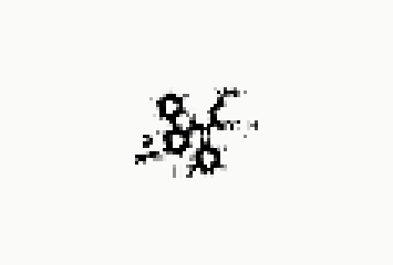 CSCCC(NC(=O)c1ccc(N=S(=O)=O)cc1-c1ccccc1)C(=O)O.Sc1ccccn1